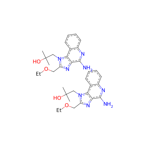 CCOCc1nc2c(N)nc3ccccc3c2n1CC(C)(C)O.CCOCc1nc2c(N)nc3ccccc3c2n1CC(C)(C)O